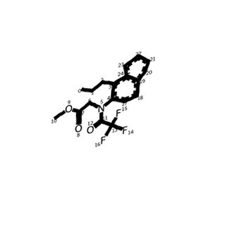 CCCc1c(N(CC(=O)OC)C(=O)C(F)(F)F)ccc2ccccc12